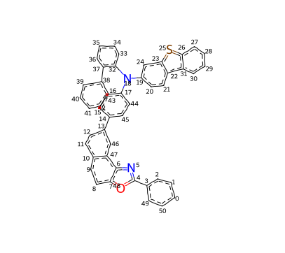 c1ccc(-c2nc3c(ccc4ccc(-c5ccc(N(c6ccc7c(c6)sc6ccccc67)c6ccccc6-c6ccccc6)cc5)cc43)o2)cc1